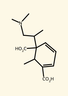 CC(CN(C)C)C1(C(=O)O)C=CC=C(C(=O)O)C1C